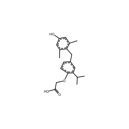 Cc1cc(O)cc(C)c1Cc1ccc(OCC(=O)O)c(C(C)C)c1